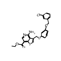 CCOC(=O)c1cnc(N)c2c(COc3cccc(OCc4cccc(Cl)c4)c3)csc12